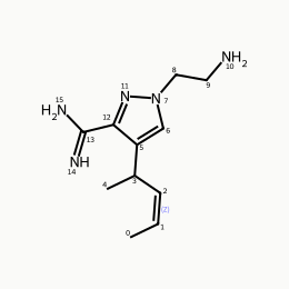 C/C=C\C(C)c1cn(CCN)nc1C(=N)N